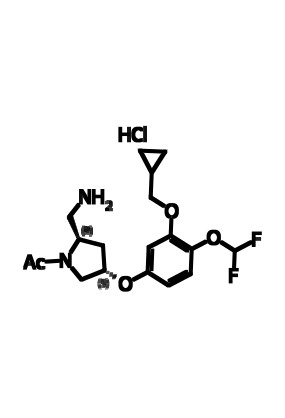 CC(=O)N1C[C@@H](Oc2ccc(OC(F)F)c(OCC3CC3)c2)C[C@@H]1CN.Cl